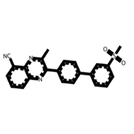 Cc1nc2c(C#N)cccc2nc1-c1ccc(-c2cccc(S(C)(=O)=O)c2)cc1